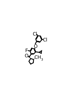 C[C@@H]1CCC[C@H]1C(=O)c1cc(C2CC2)c(OCc2cc(Cl)cc(Cl)c2)cc1F